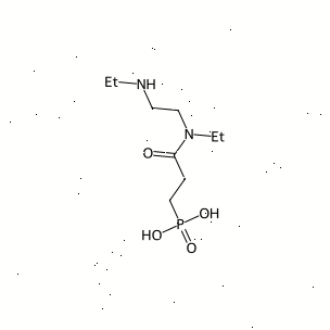 CCNCCN(CC)C(=O)CCP(=O)(O)O